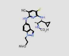 COCCn1ncc2cc(Nc3nc(N[C@H](C4CC4)[C@H](C)NC(=O)O)c(F)cc3C#N)ccc21